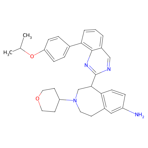 CC(C)Oc1ccc(-c2cccc3cnc(C4CN(C5CCOCC5)CCc5cc(N)ccc54)nc23)cc1